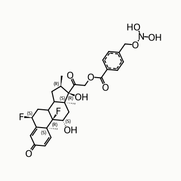 C[C@@H]1CC2C3C[C@H](F)C4=CC(=O)C=C[C@]4(C)[C@@]3(F)[C@@H](O)C[C@]2(C)[C@@]1(O)C(=O)COC(=O)c1ccc(CON(O)O)cc1